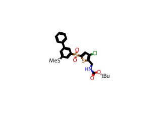 CSc1cc(-c2ccccc2)cc(S(=O)(=O)c2cc(Cl)c(CNC(=O)OC(C)(C)C)s2)c1